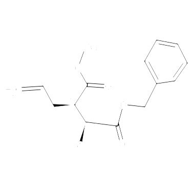 C=CC[C@@H](C(=O)OC(C)(C)C)[C@H](C)C(=O)OCc1ccccc1